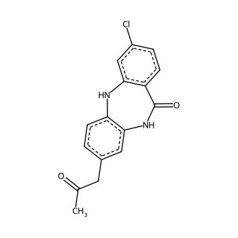 CC(=O)Cc1ccc2c(c1)NC(=O)c1ccc(Cl)cc1N2